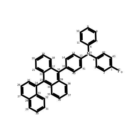 Fc1ccc(N(c2ccccc2)c2ccc(-c3c4ccccc4c(-c4cccc5ccccc45)c4ccccc34)cc2)cc1